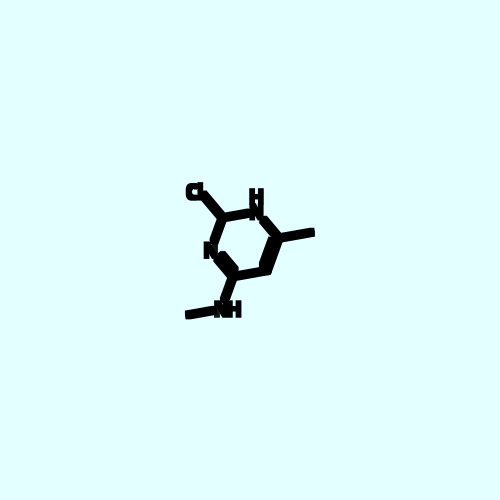 CNC1=NC(Cl)NC(C)=C1